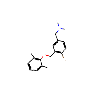 CCN(CC)Cc1ccc(Br)c(COc2c(C)cccc2C)c1